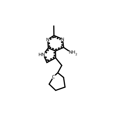 Cc1nc(N)c2c(CC3CCCCC3)c[nH]c2n1